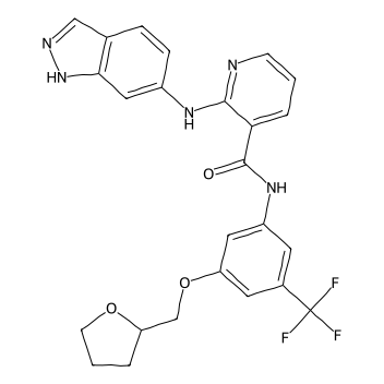 O=C(Nc1cc(OCC2CCCO2)cc(C(F)(F)F)c1)c1cccnc1Nc1ccc2cn[nH]c2c1